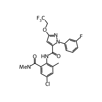 CNC(=O)c1cc(Cl)cc(C)c1NC(=O)c1cc(OCC(F)(F)F)nn1-c1cccc(F)c1